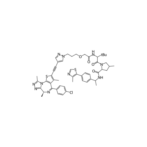 Cc1ncsc1-c1ccc(C(C)NC(=O)C2CC(C)CN2C(=O)C(NC(=O)COCCCn2cc(C#Cc3sc4c(c3C)C(c3ccc(Cl)cc3)=N[C@@H](C)c3nnc(C)n3-4)cn2)C(C)(C)C)cc1